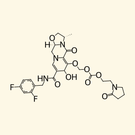 C[C@H]1CO[C@@H]2CN3C=C(C(=O)NCc4ccc(F)cc4F)C(O)C(OCOC(=O)OCCN4CCCC4=O)=C3C(=O)N12